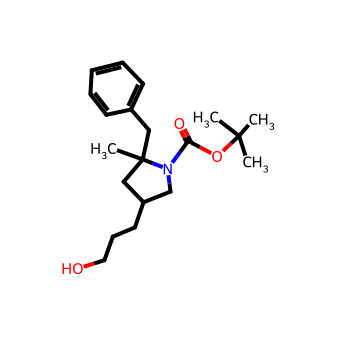 CC(C)(C)OC(=O)N1CC(CCCO)CC1(C)Cc1ccccc1